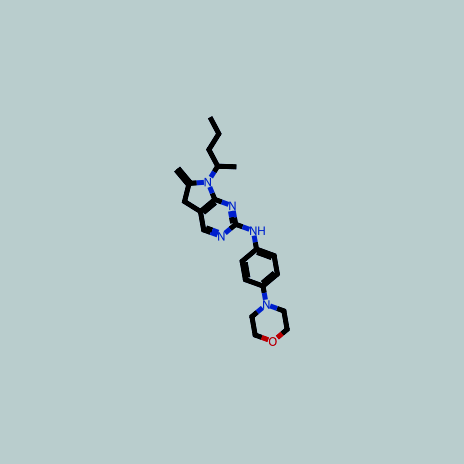 C=C1Cc2cnc(Nc3ccc(N4CCOCC4)cc3)nc2N1C(C)CCC